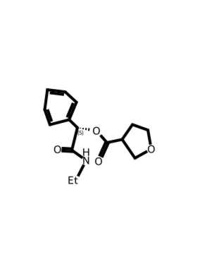 CCNC(=O)[C@@H](OC(=O)C1CCOC1)c1ccccc1